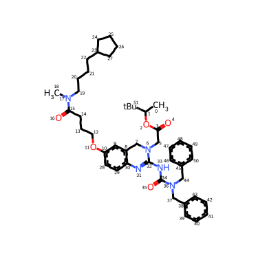 CC(OC(=O)CN1Cc2cc(OCCCC(=O)N(C)CCCCC3CCCC3)ccc2N=C1NC(=O)N(Cc1ccccc1)Cc1ccccc1)C(C)(C)C